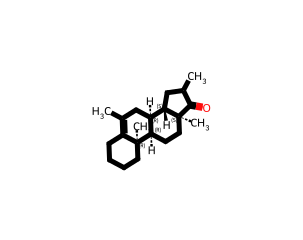 CC1=C2CCCC[C@]2(C)[C@@H]2CC[C@]3(C)C(=O)C(C)C[C@H]3[C@@H]2C1